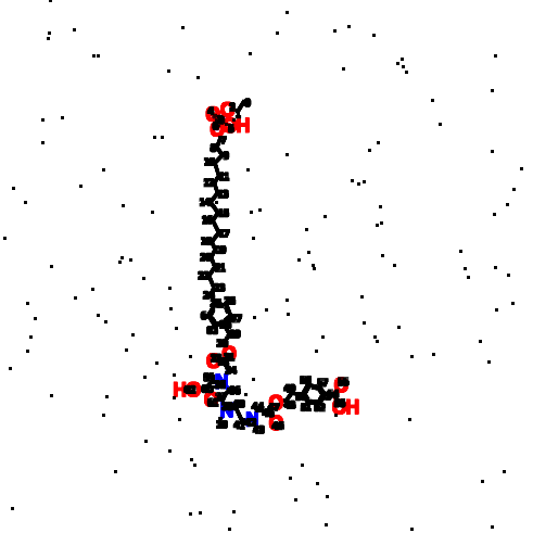 CCOP(=O)(O)OCCCCCCCCCCCCCCCCCCc1ccc(CCOC(=O)CN(CCN(C)CCN(C)CC(=O)OCCc2ccc(C(=O)O)cc2)CC(=O)O)cc1